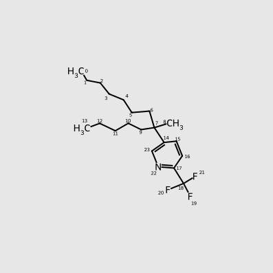 CCCCCCCC(C)(CCCCC)c1ccc(C(F)(F)F)nc1